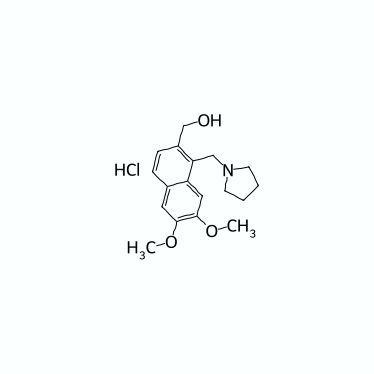 COc1cc2ccc(CO)c(CN3CCCC3)c2cc1OC.Cl